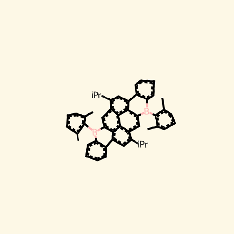 Cc1cccc(C)c1B1c2ccccc2-c2cc(C(C)C)c3cc4c5c(cc(C(C)C)c6cc1c2c3c65)-c1ccccc1B4c1c(C)cccc1C